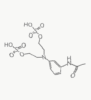 CC(=O)Nc1cccc(N(CCOS(=O)(=O)O)CCOS(=O)(=O)O)c1